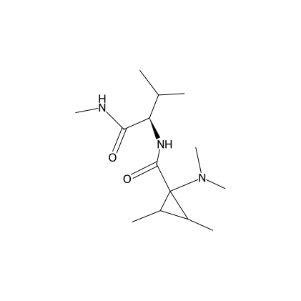 CNC(=O)[C@H](NC(=O)C1(N(C)C)C(C)C1C)C(C)C